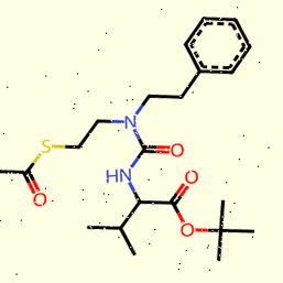 CC(=O)SCCN(CCc1ccccc1)C(=O)NC(C(=O)OC(C)(C)C)C(C)C